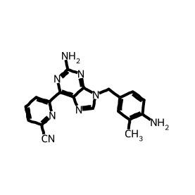 Cc1cc(Cn2cnc3c(-c4cccc(C#N)n4)nc(N)nc32)ccc1N